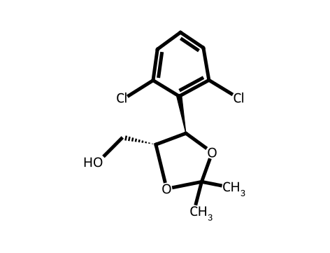 CC1(C)O[C@H](c2c(Cl)cccc2Cl)[C@@H](CO)O1